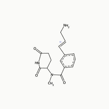 CN(C(=O)c1cccc(/C=C/CN)c1)C1CCC(=O)NC1=O